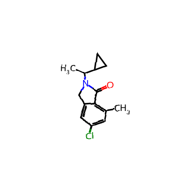 Cc1cc(Cl)cc2c1C(=O)N(C(C)C1CC1)C2